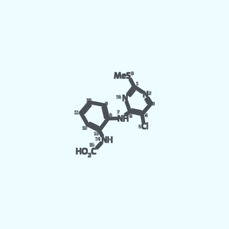 CSc1ncc(Cl)c(Nc2ccccc2NC(=O)O)n1